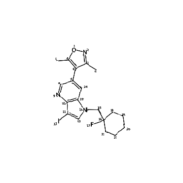 Cc1noc(C)c1-c1cnc2c(I)cn(CC3(F)CCCCC3)c2c1